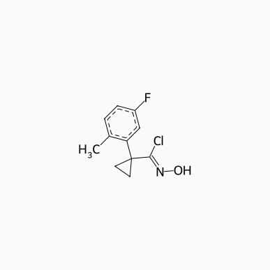 Cc1ccc(F)cc1C1(C(Cl)=NO)CC1